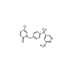 Nc1cc(C2(c3ccc(Cn4cc(Cl)ccc4=O)cc3)CC2)cnn1